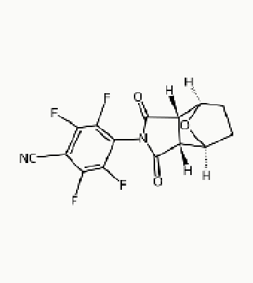 N#Cc1c(F)c(F)c(N2C(=O)[C@@H]3[C@H](C2=O)[C@H]2CC[C@@H]3O2)c(F)c1F